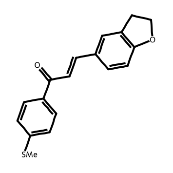 CSc1ccc(C(=O)/C=C/c2ccc3c(c2)CCO3)cc1